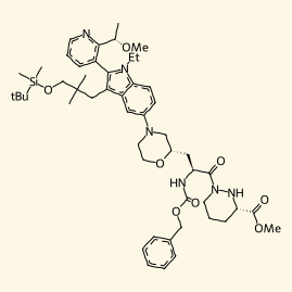 CCn1c(-c2cccnc2[C@H](C)OC)c(CC(C)(C)CO[Si](C)(C)C(C)(C)C)c2cc(N3CCO[C@@H](C[C@H](NC(=O)OCc4ccccc4)C(=O)N4CCC[C@@H](C(=O)OC)N4)C3)ccc21